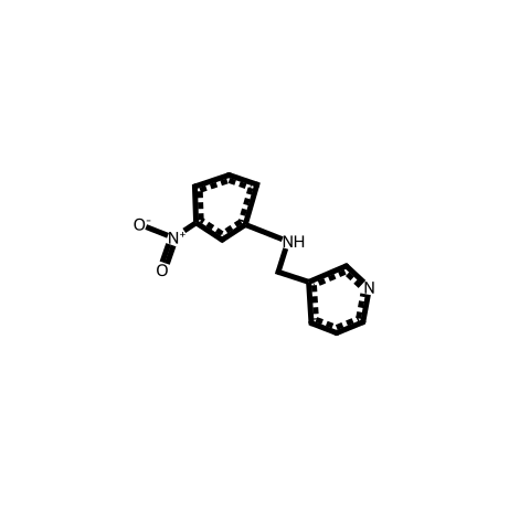 O=[N+]([O-])c1cccc(NCc2cccnc2)c1